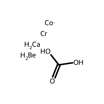 O=C(O)O.[BeH2].[CaH2].[Co].[Cr]